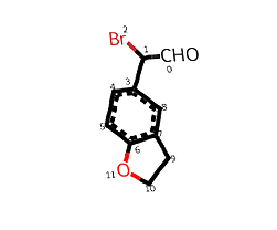 O=CC(Br)c1ccc2c(c1)CCO2